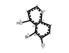 Oc1ccnc2ccc(Cl)c(Br)c12